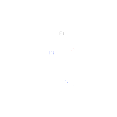 CCC(=O)NC(C)(C)CN